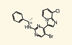 C[C@H](Nc1ncc(Br)c(-c2cnc3c(Cl)cccn23)n1)c1ccccc1